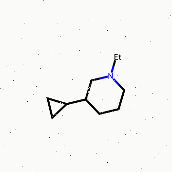 CCN1CCCC(C2CC2)C1